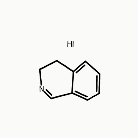 C1=NCCc2ccccc21.I